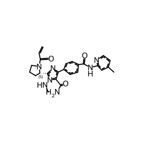 C=CC(=O)N1CCC[C@H]1c1nc(-c2ccc(C(=O)Nc3cc(C)ccn3)cc2)c(C(N)=O)n1NC